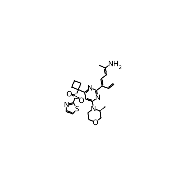 C=C/C(=C\C=C(/C)N)c1nc(N2CCOC[C@@H]2C)cc(C2(S(=O)(=O)c3nccs3)CCC2)n1